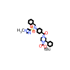 Cn1cnc(S(=O)(=O)N(Cc2ccccc2)c2ccc(C(=O)N3CCN(C(=O)OC(C)(C)C)C(c4ccccc4)C3)cc2)c1